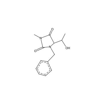 CC(O)C1C(=O)N(C)C(=O)N1Cc1ccccc1